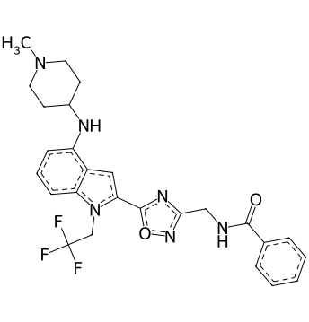 CN1CCC(Nc2cccc3c2cc(-c2nc(CNC(=O)c4ccccc4)no2)n3CC(F)(F)F)CC1